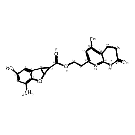 Cc1cc(O)cc2c1OC1C(C(=O)OCCc3cc(F)c4c(n3)NC(=O)CC4)C21